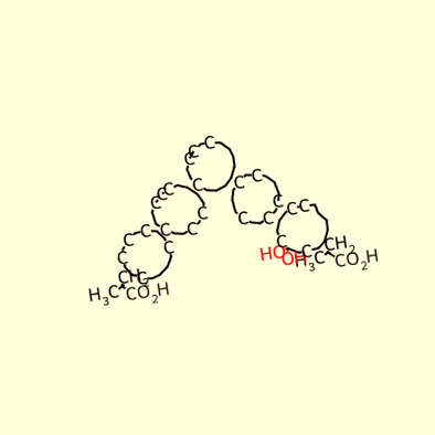 C1CCCCCCCCCCCCCC1.C1CCCCCCCCCCCCCC1.C1CCCCCCCCCCCCCC1.C1CCCCCCCCCCCCCC1.C=C(C)C(=O)O.C=C(C)C(=O)O.OC1(O)CCCCCCCCCCCCCC1